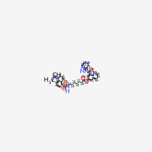 CN(C)c1cccc2c(S(=O)(=O)NCCCCCCC(=O)Oc3cc(C(=O)Nc4cnccn4)c4ncccc4c3)cccc12